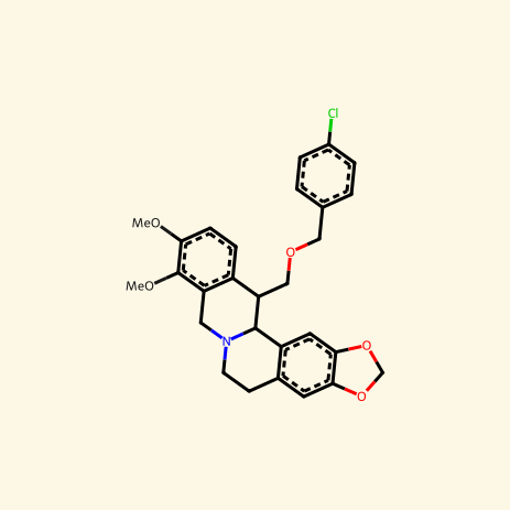 COc1ccc2c(c1OC)CN1CCc3cc4c(cc3C1C2COCc1ccc(Cl)cc1)OCO4